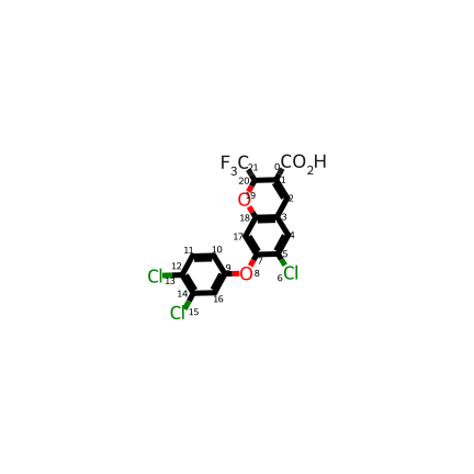 O=C(O)C1=Cc2cc(Cl)c(Oc3ccc(Cl)c(Cl)c3)cc2OC1C(F)(F)F